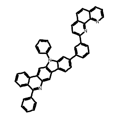 c1ccc(-c2nc3cc4c5ccc(-c6cccc(-c7ccc8ccc9cccnc9c8n7)c6)cc5n(-c5ccccc5)c4cc3c3ccccc23)cc1